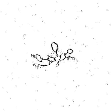 CC#CCn1c(N2CCNCC2)nc2c1c(=O)n(Cc1nc(C)c3ccccc3n1)c(=O)n2-c1ccccc1